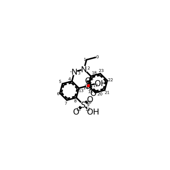 CCN([N]c1cccc(S(=O)(=O)O)c1S(=O)(=O)O)c1ccccc1